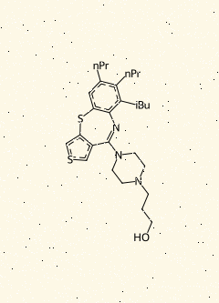 CCCc1cc2c(c(C(C)CC)c1CCC)N=C(N1CCN(CCCO)CC1)c1cscc1S2